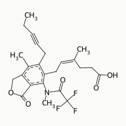 CCC#CCc1c(C)c2c(c(N(C)C(=O)C(F)(F)F)c1CC=C(C)CCC(=O)O)C(=O)OC2